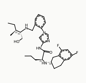 CCC[C@H](N[C@H]1CCc2cc(F)cc(F)c2C1)C(=O)Nc1cn(-c2ccccc2CN[C@H](CO)[C@@H](C)CC)cn1